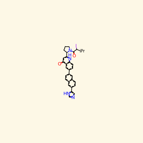 CC(C)C(I)C(=O)N1CCCC1c1cc(=O)c2cc(-c3ccc4cc(-c5cnc[nH]5)ccc4c3)ccc2[nH]1